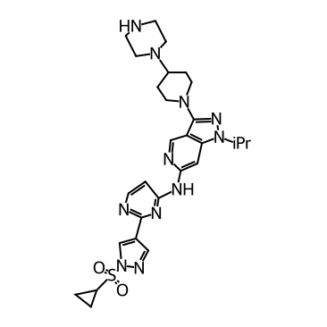 CC(C)n1nc(N2CCC(N3CCNCC3)CC2)c2cnc(Nc3ccnc(-c4cnn(S(=O)(=O)C5CC5)c4)n3)cc21